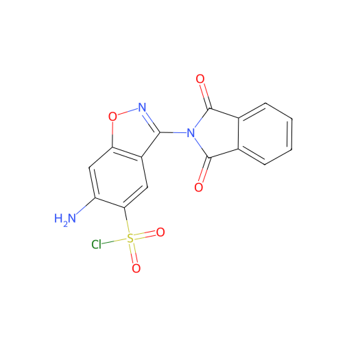 Nc1cc2onc(N3C(=O)c4ccccc4C3=O)c2cc1S(=O)(=O)Cl